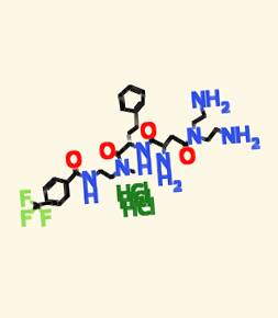 CN(CCNC(=O)c1ccc(C(F)(F)F)cc1)C(=O)[C@H](CCc1ccccc1)NC(=O)C(N)CC(=O)N(CCN)CCN.Cl.Cl.Cl